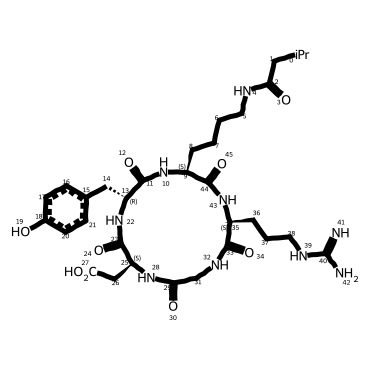 CC(C)CC(=O)NCCCC[C@@H]1NC(=O)[C@@H](Cc2ccc(O)cc2)NC(=O)[C@H](CC(=O)O)NC(=O)CNC(=O)[C@H](CCCNC(=N)N)NC1=O